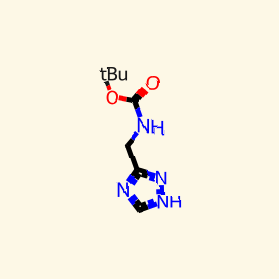 CC(C)(C)OC(=O)NCc1nc[nH]n1